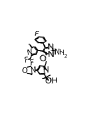 Cc1cc(-c2c(OCc3cc(N4CCOCC4)cc(C(C)(C)O)n3)nc(N)nc2-c2ccc(F)cc2)cc(C(F)F)n1